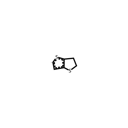 [c]1cc2c(s1)CCS2